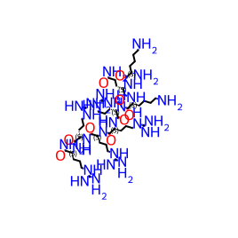 N=C(N)NCCC[C@H](NC(=O)[C@H](CCCNC(=N)N)NC(=O)[C@H](CCCNC(=N)N)NC(=O)[C@H](CCCNC(=N)N)NC(=O)[C@H](CCCNC(=N)N)NC(=O)[C@H](CCCCN)NC(=O)[C@H](CCC(N)=O)NC(=O)[C@@H](N)CCCCN)C(N)=O